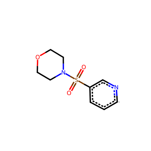 O=S(=O)(c1cc[c]nc1)N1CCOCC1